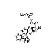 CCCc1nc(CC)c(C(=O)OCOC(=O)OC)n1Cc1ccc(-c2ccccc2-c2nnn[nH]2)cc1